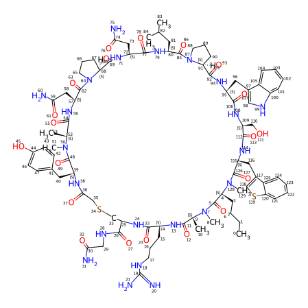 CCCC[C@H]1C(=O)N(C)[C@@H](C)C(=O)N[C@@H](CCCNC(=N)N)C(=O)NC(C(=O)NCC(N)=O)CSCC(=O)N[C@@H](Cc2ccc(O)cc2)C(=O)N(C)[C@@H](C)C(=O)N[C@@H](CC(N)=O)C(=O)N2CCC[C@H]2C(=O)N[C@@H](CC(N)=O)C(=O)N[C@@H](CC(C)C)C(=O)N2CCC[C@H]2C(=O)N[C@@H](Cc2c[nH]c3ccccc23)C(=O)N[C@@H](CO)C(=O)N[C@@H](Cc2csc3ccccc23)C(=O)N1C